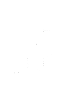 CC(=O)Nc1ccc2ccc(C)cc2n1